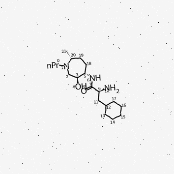 CCCN1C[C@H](O)[C@@H](NC(=O)[C@@H](N)CC2CCCCC2)CC[C@H]1C